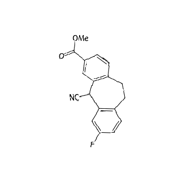 COC(=O)c1ccc2c(c1)C(C#N)c1cc(F)ccc1CC2